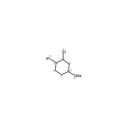 CCC1CN(SC)CCN1C(C)C